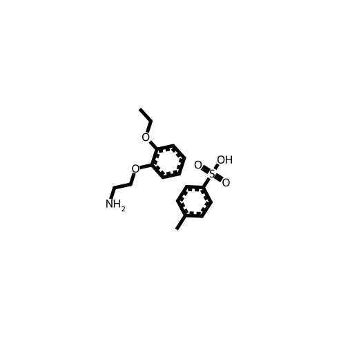 CCOc1ccccc1OCCN.Cc1ccc(S(=O)(=O)O)cc1